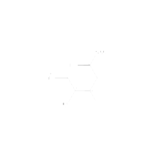 CNC(C)CC(C)C(CC(C)C)C(C)C